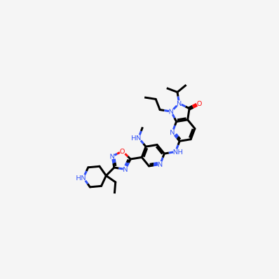 CCCn1c2nc(Nc3cc(NC)c(-c4nc(C5(CC)CCNCC5)no4)cn3)ccc2c(=O)n1C(C)C